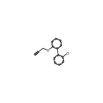 C#CCOc1[c]cccc1-c1ccccc1Cl